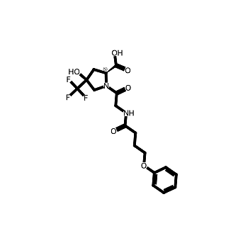 O=C(CCCOc1ccccc1)NCC(=O)N1CC(O)(C(F)(F)F)C[C@H]1C(=O)O